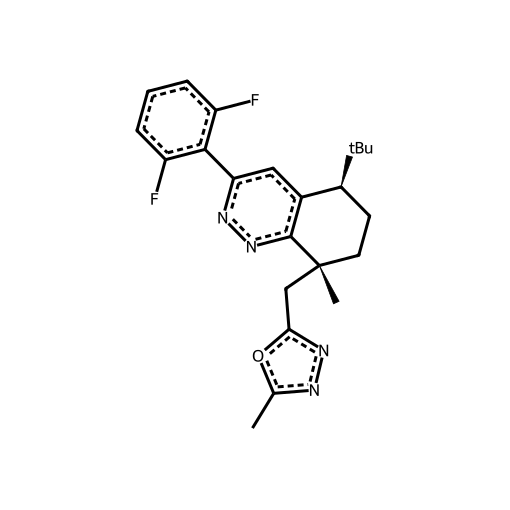 Cc1nnc(C[C@@]2(C)CC[C@H](C(C)(C)C)c3cc(-c4c(F)cccc4F)nnc32)o1